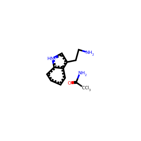 NC(=O)C(Cl)(Cl)Cl.NCCc1c[nH]c2ccccc12